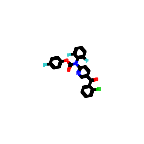 O=C(c1ccc(N(C(=O)Oc2ccc(F)cc2)c2c(F)cccc2F)nc1)c1ccccc1Cl